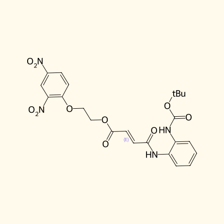 CC(C)(C)OC(=O)Nc1ccccc1NC(=O)/C=C/C(=O)OCCOc1ccc([N+](=O)[O-])cc1[N+](=O)[O-]